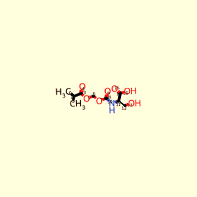 CC(C)C(=O)OCOC(=O)N[C@H](CO)C(=O)O